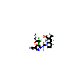 COC[C@@H](Oc1cc(NC(=O)N2CCCc3cc(C(F)F)c(C=O)nc32)ncc1C#N)C(F)(F)F